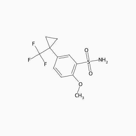 COc1ccc(C2(C(F)(F)F)CC2)cc1S(N)(=O)=O